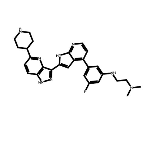 CN(C)CCNc1cc(F)cc(-c2ccnc3[nH]c(-c4n[nH]c5ccc(C6CCNCC6)nc45)cc23)c1